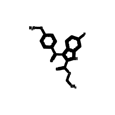 CCOC(=O)c1[nH]c2cc(F)ccc2c1C(=O)c1ccc(OC)cc1